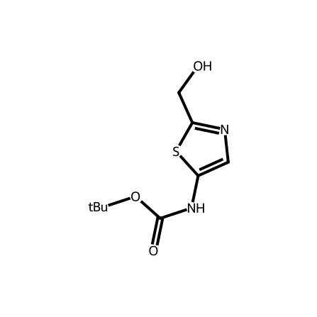 CC(C)(C)OC(=O)Nc1cnc(CO)s1